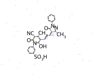 CC1=NN(c2ccccc2)C(=O)/C1=C\C=C\c1c(C)c(C#N)c(=O)n(-c2cccc(S(=O)(=O)O)c2)c1O